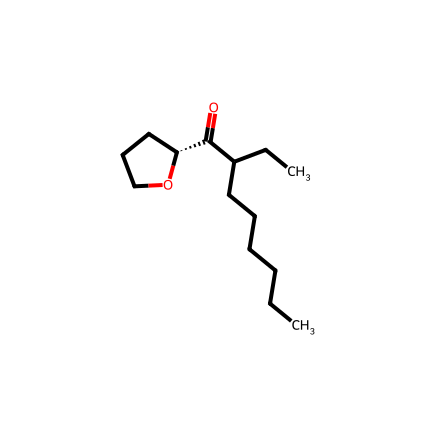 CCCCCCC(CC)C(=O)[C@H]1CCCO1